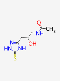 CC(=O)NCC(O)Cc1n[nH]c(=S)[nH]1